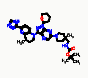 C[C@H]1CCN(c2nn(C3CCCCO3)c3nc(N4CCC(C)(CNC(=O)OC(C)(C)C)CC4)cnc23)c2ccc(-c3nnc[nH]3)nc21